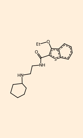 CCOc1c(C(=O)NCCNC2CCCCC2)sc2ccccc12